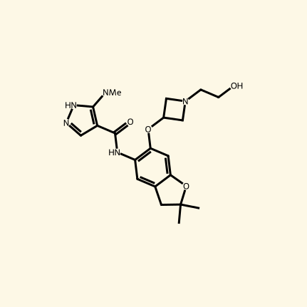 CNc1[nH]ncc1C(=O)Nc1cc2c(cc1OC1CN(CCO)C1)OC(C)(C)C2